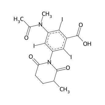 CC(=O)N(C)c1c(I)c(C(=O)O)c(I)c(N2C(=O)CCC(C)C2=O)c1I